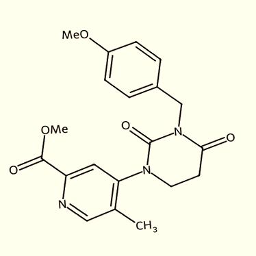 COC(=O)c1cc(N2CCC(=O)N(Cc3ccc(OC)cc3)C2=O)c(C)cn1